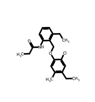 CCC(=O)Nc1cccc(CC)c1COc1cc(C)c(CC)cc1Cl